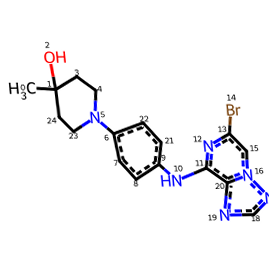 CC1(O)CCN(c2ccc(Nc3nc(Br)cn4ncnc34)cc2)CC1